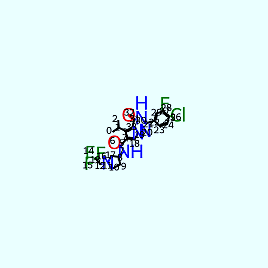 CC(C)c1c(C(=O)NC2CCN(CC(F)(F)F)C2)cn2nc(-c3ccc(Cl)c(F)c3)[nH]c(=O)c12